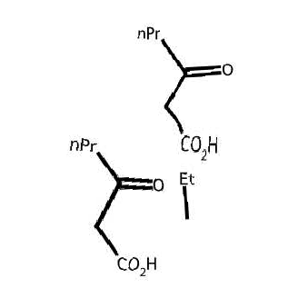 CCC.CCCC(=O)CC(=O)O.CCCC(=O)CC(=O)O